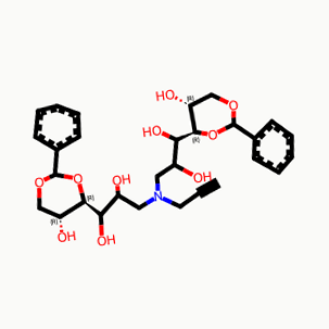 C#CCN(CC(O)C(O)[C@@H]1OC(c2ccccc2)OC[C@H]1O)CC(O)C(O)[C@@H]1OC(c2ccccc2)OC[C@H]1O